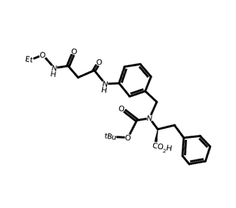 CCONC(=O)CC(=O)Nc1cccc(CN(C(=O)OC(C)(C)C)[C@@H](Cc2ccccc2)C(=O)O)c1